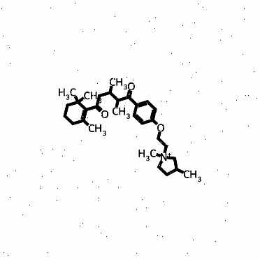 CC1=C(C(=O)CC(C)C(C)C(=O)c2ccc(OCC[N+]3(C)CCC(C)C3)cc2)C(C)(C)CCC1